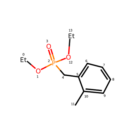 CCOP(=O)(Cc1ccccc1C)OCC